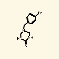 S=C1NCN(Cc2ccc(Br)cc2)CN1